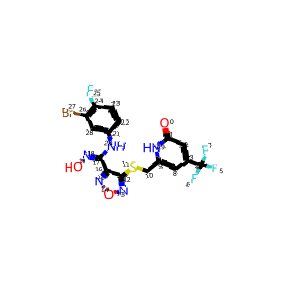 O=c1cc(C(F)(F)F)cc(CSc2nonc2/C(=N\O)Nc2ccc(F)c(Br)c2)[nH]1